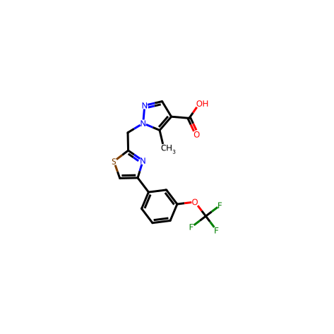 Cc1c(C(=O)O)cnn1Cc1nc(-c2cccc(OC(F)(F)F)c2)cs1